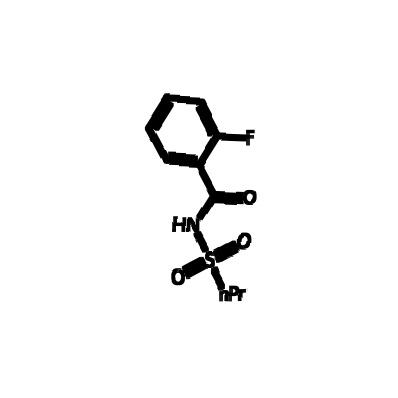 CCCS(=O)(=O)NC(=O)c1ccccc1F